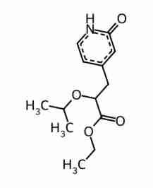 CCOC(=O)C(Cc1cc[nH]c(=O)c1)OC(C)C